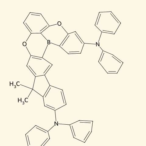 CC1(C)c2cc(N(c3ccccc3)c3ccccc3)ccc2-c2cc3c(cc21)Oc1cccc2c1B3c1ccc(N(c3ccccc3)c3ccccc3)cc1O2